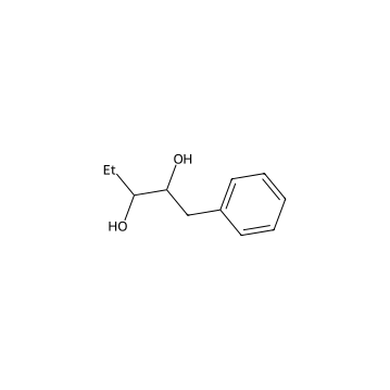 CCC(O)C(O)Cc1ccccc1